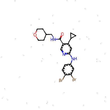 O=C(NCC1CCOCC1)c1cnc(Nc2ccc(Br)c(Br)c2)cc1C1CC1